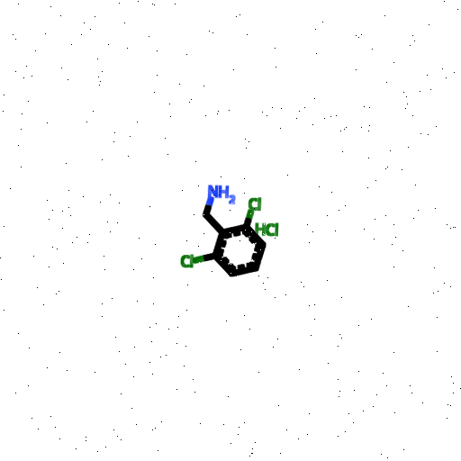 Cl.NCc1c(Cl)cccc1Cl